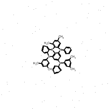 Cc1cc(C)cc(N(c2ccccc2)c2cc3c4c(c2)N(c2ccccc2)c2cc(C)cc(C)c2B4c2ccccc2N3c2cc(C)cc(C)c2)c1